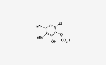 CCCCc1c(CCC)cc(CC)c(OC(=O)O)c1O